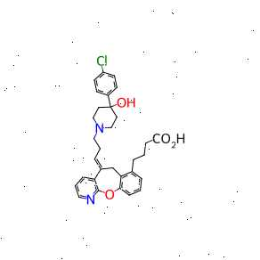 O=C(O)CCCc1cccc2c1CC(=CCCN1CCC(O)(c3ccc(Cl)cc3)CC1)c1cccnc1O2